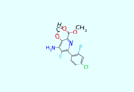 COC(=O)c1nc(-c2ccc(Cl)cc2F)c(F)c(N)c1OC